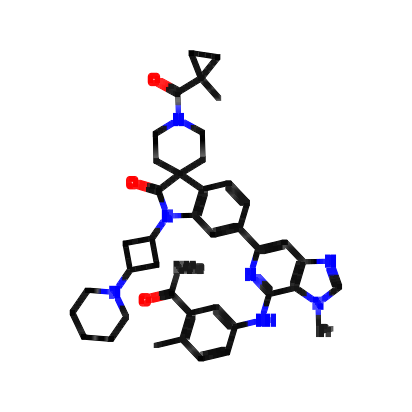 CNC(=O)c1cc(Nc2nc(-c3ccc4c(c3)N(C3CC(N5CCCCC5)C3)C(=O)C43CCN(C(=O)C4(C)CC4)CC3)cc3ncn(C(C)C)c23)ccc1C